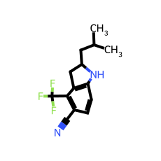 CC(C)CC1Cc2c(ccc(C#N)c2C(F)(F)F)N1